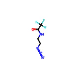 [N-]=[N+]=NCCNC(=O)C(F)(F)F